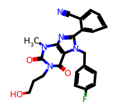 Cn1c(=O)n(CCCO)c(=O)c2c1nc(-c1ccccc1C#N)n2Cc1ccc(F)cc1